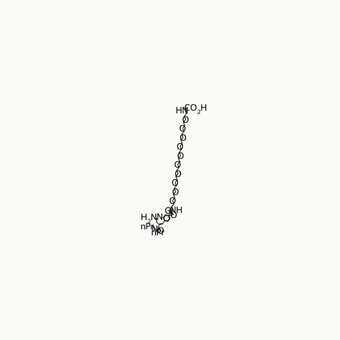 CCCN(CCC)C(=O)C1=Cc2ccc(S(=O)(=O)NCCOCCOCCOCCOCCOCCOCCOCCOCCOCCOCCNC(=O)O)cc2N=C(N)C1